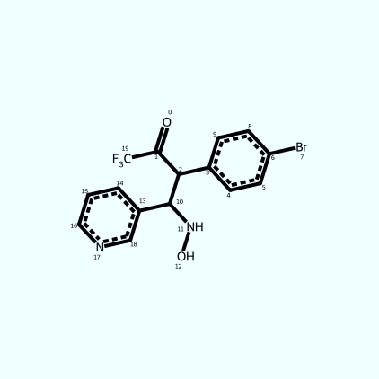 O=C(C(c1ccc(Br)cc1)C(NO)c1cccnc1)C(F)(F)F